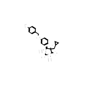 O=C1NC(=O)C(CC2CC2)(Oc2ccc(OCc3ccc(F)cc3)cc2)C(=O)N1